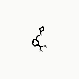 CC(C)c1cccc(CNC2CCC2)c1